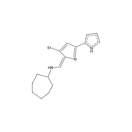 CCC1=CC(c2ccc[nH]2)=N/C1=C/NC1CCCCCC1